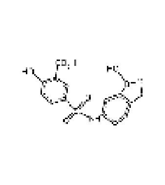 O=C(O)c1cc(S(=O)(=O)Nc2ccc3c(c2)B(O)OC3)ccc1O